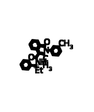 CC[C@H](NC(=O)c1c(C)n(-c2cccc(C)c2)c(=O)c2ccccc12)c1ccccc1